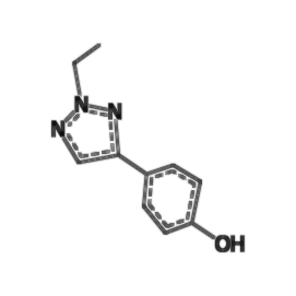 CCn1ncc(-c2ccc(O)cc2)n1